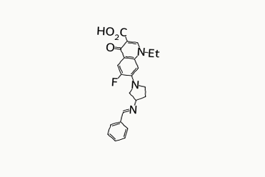 CCn1cc(C(=O)O)c(=O)c2cc(F)c(N3CCC(N=Cc4ccccc4)C3)cc21